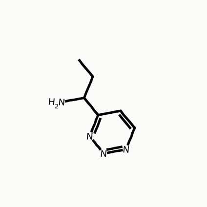 CCC(N)c1ccnnn1